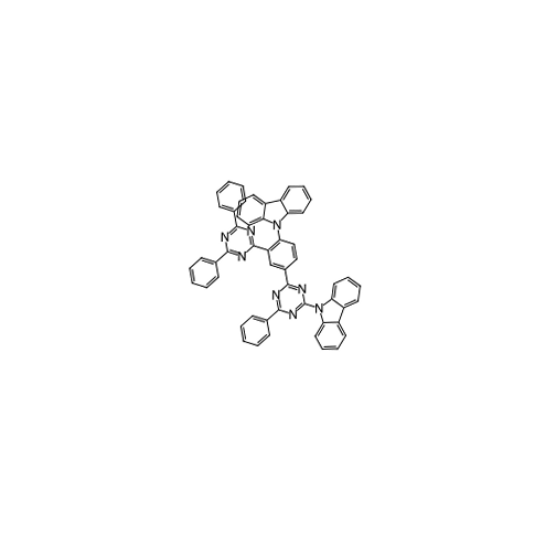 c1ccc(-c2nc(-c3ccccc3)nc(-c3cc(-c4nc(-c5ccccc5)nc(-n5c6ccccc6c6ccccc65)n4)ccc3-n3c4ccccc4c4ccccc43)n2)cc1